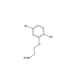 CC(=O)NCCOc1cc(Br)ccc1C#N